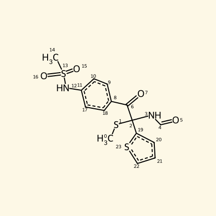 CSC(NC=O)(C(=O)c1ccc(NS(C)(=O)=O)cc1)c1cccs1